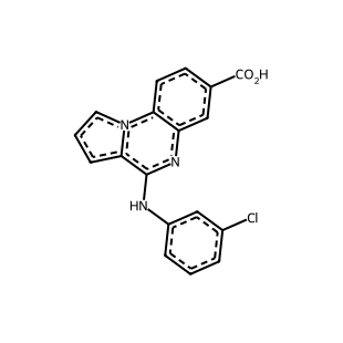 O=C(O)c1ccc2c(c1)nc(Nc1cccc(Cl)c1)c1cccn12